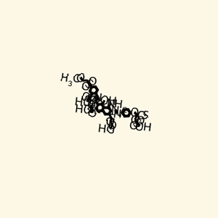 COCCS(=O)(=O)c1ccc(N=Nc2c(S(=O)(=O)O)cc3cc(SOOO)c(N=Nc4ccc(OC(=C=S)OS(=O)(=O)O)cc4)c(N)c3c2O)c(S(=O)(=O)O)c1